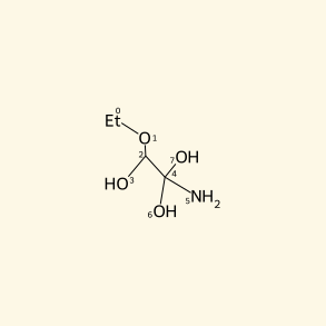 CCOC(O)C(N)(O)O